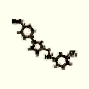 CSc1ccc(-n2cc(CNc3ccnc(C(F)(F)F)c3)nn2)cc1